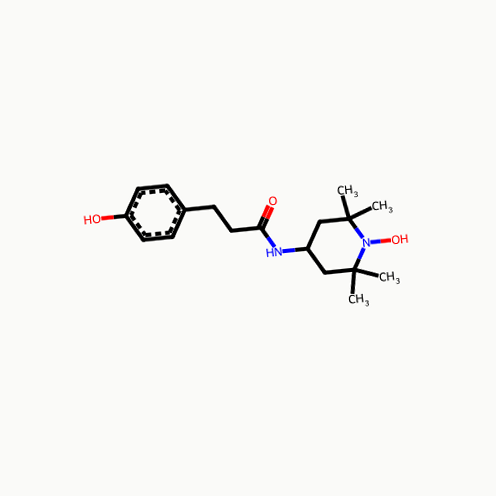 CC1(C)CC(NC(=O)CCc2ccc(O)cc2)CC(C)(C)N1O